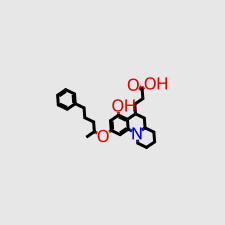 CC(CCCc1ccccc1)Oc1cc(O)c2c(c1)N1CCCCC1CC2CCC(=O)O